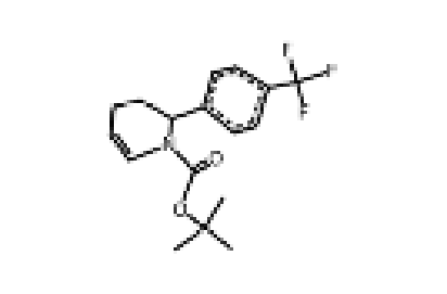 CC(C)(C)OC(=O)N1C=CCCC1c1ccc(C(F)(F)F)cc1